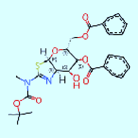 CN(C(=O)OC(C)(C)C)C1=N[C@@H]2[C@H](O)[C@H](OC(=O)c3ccccc3)[C@@H](COC(=O)c3ccccc3)O[C@@H]2S1